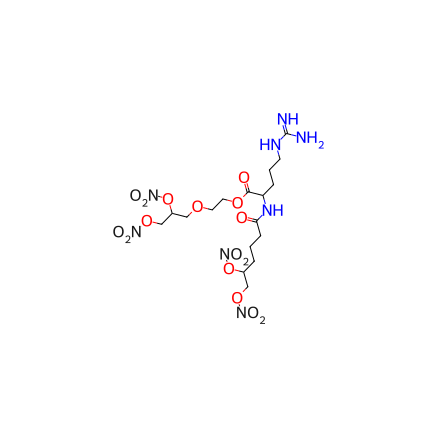 N=C(N)NCCCC(NC(=O)CCCC(CO[N+](=O)[O-])O[N+](=O)[O-])C(=O)OCCOCC(CO[N+](=O)[O-])O[N+](=O)[O-]